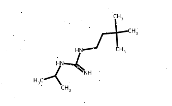 CC(C)NC(=N)NCCC(C)(C)C